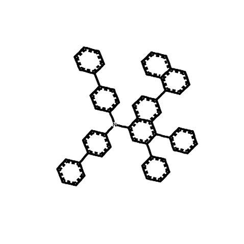 c1ccc(-c2ccc(N(c3ccc(-c4ccccc4)cc3)c3cc(-c4ccccc4)c(-c4ccccc4)c4cc(-c5cccc6ccccc56)ccc34)cc2)cc1